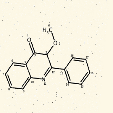 COC1C(=O)c2ccccc2N=C1c1ccccc1